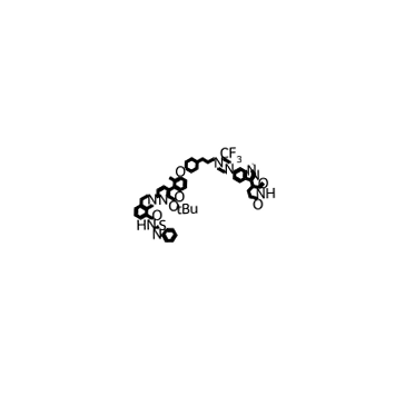 Cc1c(OC2CCC(CCCN3CCN(c4ccc5c(C6CCC(=O)NC6=O)nn(C)c5c4)C[C@H]3C(F)(F)F)CC2)cccc1-c1ccc(N2CCc3cccc(C(=O)Nc4nc5ccccc5s4)c3C2)nc1C(=O)OC(C)(C)C